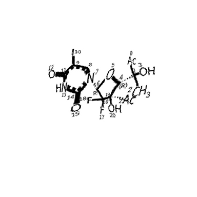 CC(=O)C(C)(O)[C@H]1O[C@@H](n2cc(I)c(=O)[nH]c2=O)C(F)(F)[C@@]1(O)C(C)=O